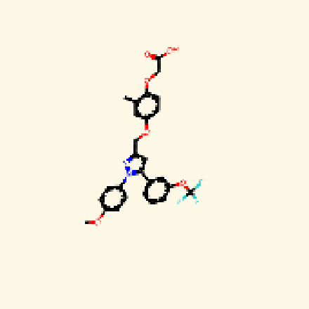 COc1ccc(-n2nc(COc3ccc(OCC(=O)O)c(C)c3)cc2-c2cccc(OC(F)(F)F)c2)cc1